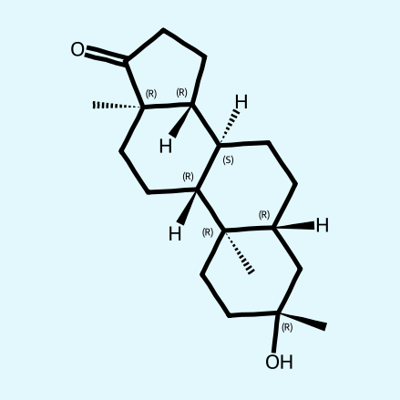 C[C@@]1(O)CC[C@]2(C)[C@H](CC[C@H]3[C@H]2CC[C@@]2(C)C(=O)CC[C@H]32)C1